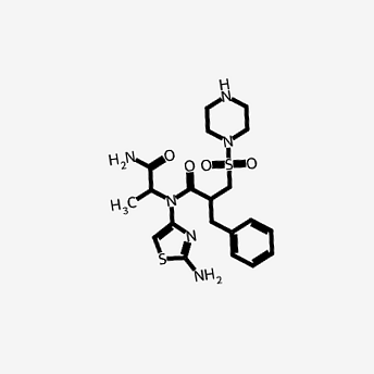 CC(C(N)=O)N(C(=O)C(Cc1ccccc1)CS(=O)(=O)N1CCNCC1)c1csc(N)n1